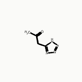 CC(=O)Cc1nnn[nH]1